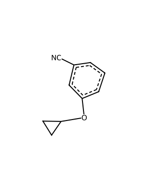 N#Cc1cccc(OC2CC2)c1